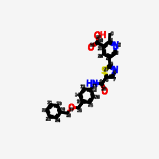 Cc1ncc(-c2ncc(C(=O)Nc3ccc(COCc4ccccc4)cc3)s2)cc1C(=O)O